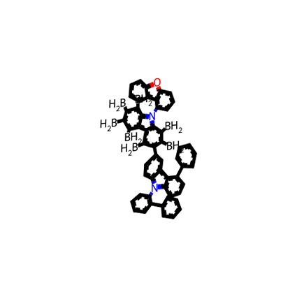 Bc1c(B)c(B)c2c(c1B)c1c(B)c(-c3ccc4c(c3)c3c(-c5ccccc5)cccc3n4-c3ccccc3-c3ccccc3)c(B)c(B)c1n2-c1cccc2oc3ccccc3c12